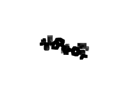 CC(C)Oc1ccc(-c2nnc(-c3cccc4c3CC[C@@H]4NC(=O)N(C)C)s2)cc1N